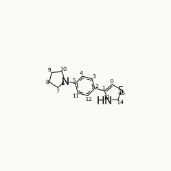 C1=C(c2ccc(N3CCCC3)cc2)NCS1